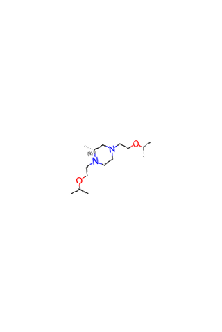 CC(C)OCCN1CCN(CCOC(C)C)[C@H](C)C1